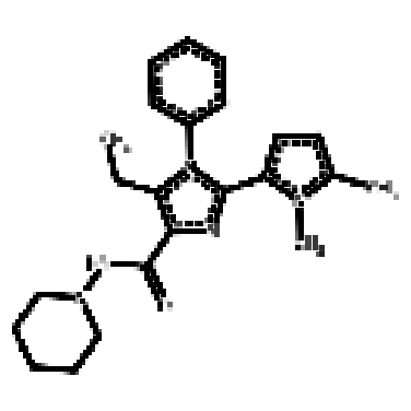 CCc1c(C(=O)NN2CCCCC2)nc(-c2ccc(C)n2C)n1-c1ccccc1